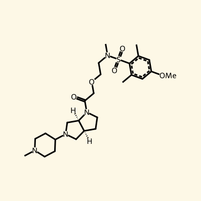 COc1cc(C)c(S(=O)(=O)N(C)CCOCC(=O)N2CC[C@H]3CN(C4CCN(C)CC4)C[C@H]32)c(C)c1